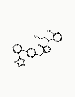 CCCC(c1ccccc1O)n1ccn(Cc2ccc(-c3ccccc3-c3nnn[nH]3)cc2)c1=O